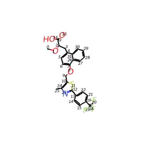 COC(Cc1ccc(OCc2sc(-c3ccc(C(F)(F)F)cc3)nc2C)c2ccccc12)C(=O)O